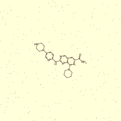 NC(=O)c1cc2cnc(Nc3ccc(N4CCNCC4)cn3)nc2c(N2CCCCC2)n1